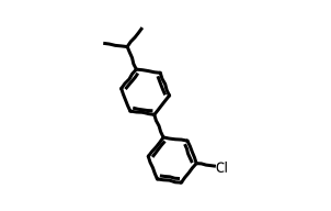 CC(C)c1ccc(-c2cccc(Cl)c2)cc1